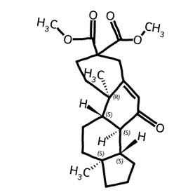 COC(=O)C1(C(=O)OC)CC[C@@]2(C)C(=CC(=O)[C@H]3[C@@H]4CCC[C@@]4(C)CC[C@@H]32)C1